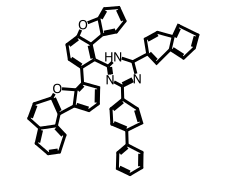 c1ccc(-c2ccc(C3=NC(c4ccc5ccccc5c4)NC(c4c(-c5cccc6c5oc5ccc7ccccc7c56)ccc5oc6ccccc6c45)=N3)cc2)cc1